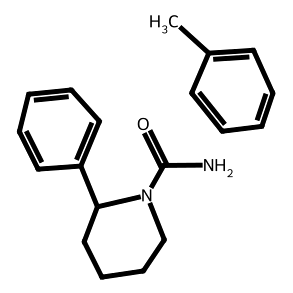 Cc1ccccc1.NC(=O)N1CCCCC1c1ccccc1